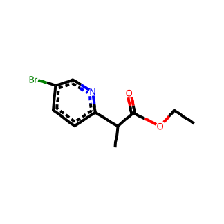 CCOC(=O)C(C)c1ccc(Br)cn1